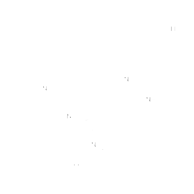 Cc1ccc2[nH]c(SCC(=O)[N+]3(c4ccccc4-n4cccc4)CCC[C@H]3C(N)=O)nc2c1